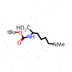 CNCCCCC(NC(=O)OC(C)(C)C)C(=O)O